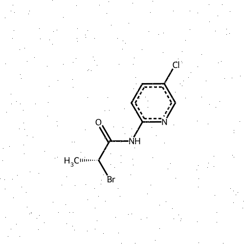 C[C@@H](Br)C(=O)Nc1ccc(Cl)cn1